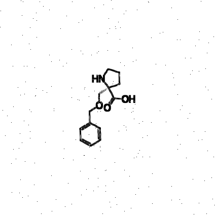 O=C(O)[C@]1(COCc2ccccc2)CCCN1